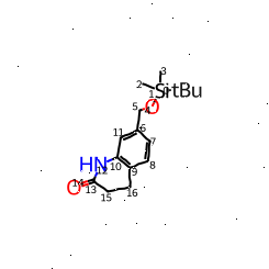 CC(C)(C)[Si](C)(C)OCc1ccc2c(c1)NC(=O)CC2